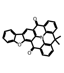 CC1(C)c2cccc3c(=O)c4cc5c6ccccc6oc5c5c(=O)c6cccc1c6n(c23)c45